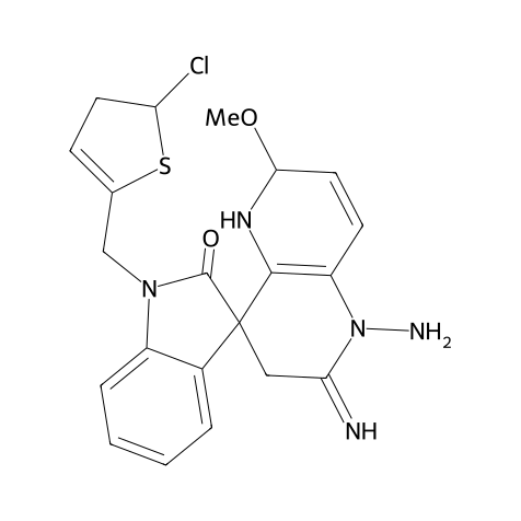 COC1C=CC2=C(N1)C1(CC(=N)N2N)C(=O)N(CC2=CCC(Cl)S2)c2ccccc21